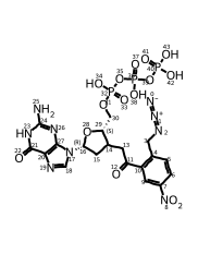 [N-]=[N+]=NCc1ccc([N+](=O)[O-])cc1C(=O)CC1C[C@H](n2cnc3c(=O)[nH]c(N)nc32)O[C@@H]1COP(=O)(O)OP(=O)(O)OP(=O)(O)O